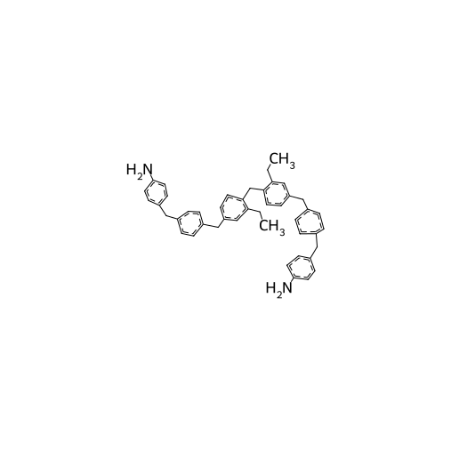 CCc1cc(Cc2ccc(Cc3ccc(N)cc3)cc2)ccc1Cc1ccc(Cc2ccc(Cc3ccc(N)cc3)cc2)cc1CC